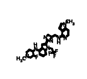 CN1CCC(Nc2cccc3c2cc(C2=NCC(CNc4nccc5c4ccn5C)=N2)n3CC(F)(F)F)C(F)C1